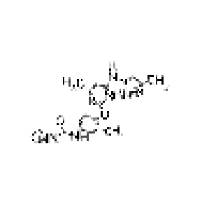 Cc1cc(Nc2cc(C)nc(Oc3ccc(NC(=O)NC4CCC4)cc3C)n2)[nH]n1